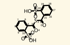 O=C(SC(=O)c1ccccc1S(=O)(=O)O)c1ccccc1S(=O)(=O)O